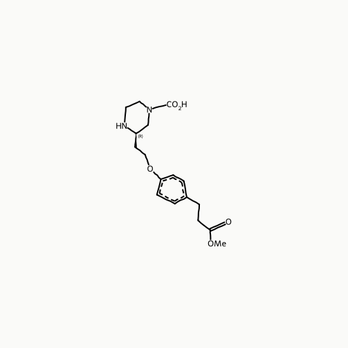 COC(=O)CCc1ccc(OCC[C@@H]2CN(C(=O)O)CCN2)cc1